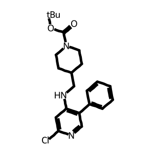 CC(C)(C)OC(=O)N1CCC(CNc2cc(Cl)ncc2-c2ccccc2)CC1